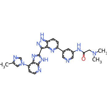 Cc1cn(-c2ccnc3[nH]c(-c4n[nH]c5ccc(-c6cncc(NC(=O)CN(C)C)c6)nc45)nc23)cn1